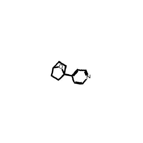 c1cc(C23CCC(CC2)O3)ccn1